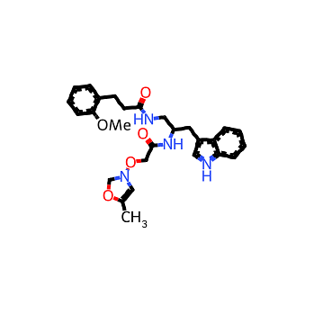 COc1ccccc1CCC(=O)NCC(Cc1c[nH]c2ccccc12)NC(=O)CON1C=C(C)OC1